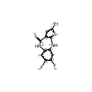 CCc1cc2c(s1)Nc1cc(F)c(F)cc1NC2=S